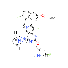 C#Cc1c(F)ccc2cc(OCOC)cc(-c3ncc4c(N5C[C@H]6CC[C@@H](C5)N6C(=O)O)nc(OC[C@@H]5C[C@@H](F)CN5C)nc4c3F)c12